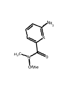 CON(C)C(=O)c1cccc(N)n1